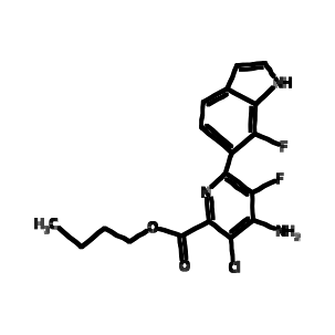 CCCCOC(=O)c1nc(-c2ccc3cc[nH]c3c2F)c(F)c(N)c1Cl